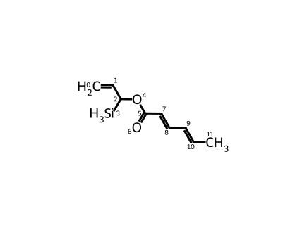 C=CC([SiH3])OC(=O)C=CC=CC